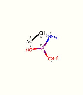 CC#N.NP(O)O